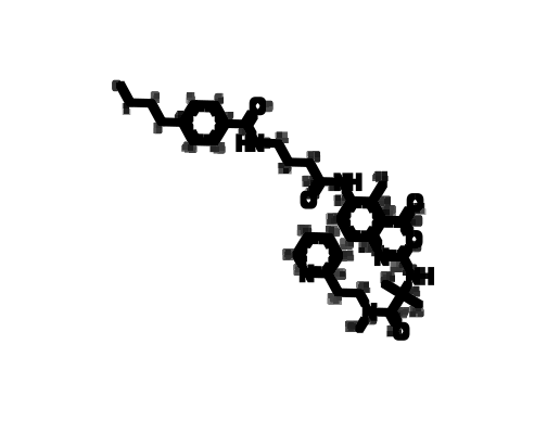 CCCCc1ccc(C(=O)NCCCC(=O)Nc2ccc3nc(NC(C)(C)C(=O)N(C)CCc4ccccn4)oc(=O)c3c2C)cc1